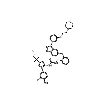 CSCC(C)(C)c1cc(NC(=O)NCc2ccccc2Sc2ccc3nnc(-c4cccc(OCCN5CCOCC5)c4)n3c2)n(-c2ccc(O)c(F)c2)n1